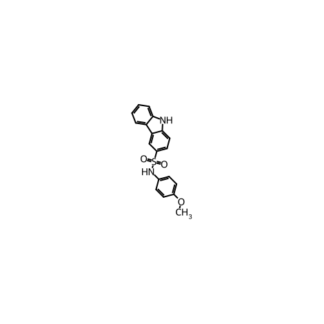 COc1ccc(NS(=O)(=O)c2ccc3[nH]c4ccccc4c3c2)cc1